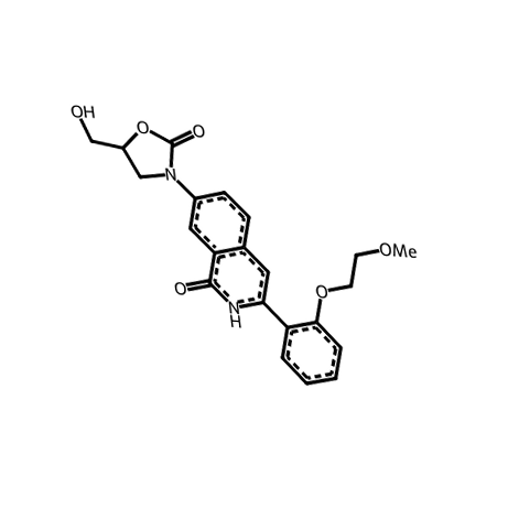 COCCOc1ccccc1-c1cc2ccc(N3CC(CO)OC3=O)cc2c(=O)[nH]1